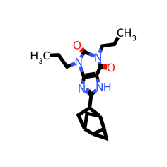 CCCn1c(=O)c2[nH]c(C3CC4CC3C3CC43)nc2n(CCC)c1=O